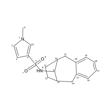 Cn1ccc(S(=O)(=O)NC2C3CCC2Cc2ccccc2C3)c1